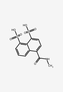 CNC(=O)c1ccc(S(=O)(=O)O)c2c(S(=O)(=O)O)cccc12